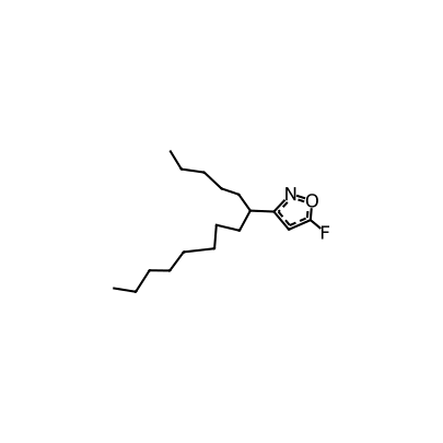 CCCCCCCCC(CCCCC)c1cc(F)on1